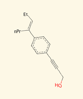 CC/C=C(\CCC)c1ccc(C#CCO)cc1